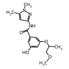 COCC(C)Oc1cc(O)cc(C(=O)Nc2cc(C)n(C)n2)c1